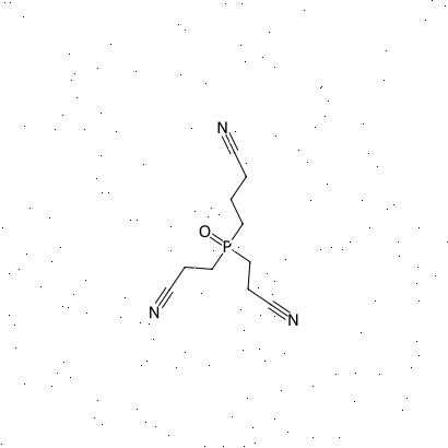 N#CCCCP(=O)(CCC#N)CCC#N